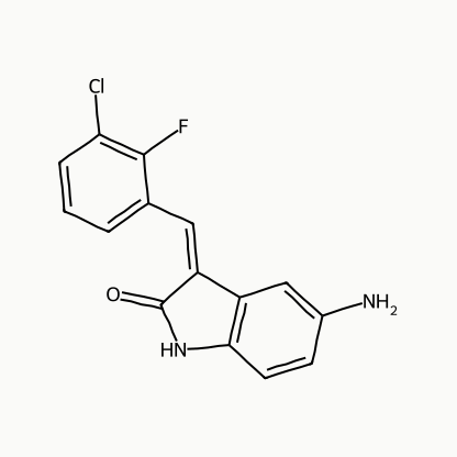 Nc1ccc2c(c1)/C(=C/c1cccc(Cl)c1F)C(=O)N2